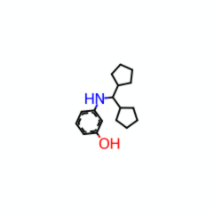 Oc1cccc(NC(C2CCCC2)C2CCCC2)c1